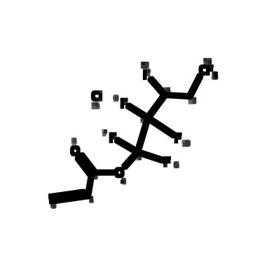 C=CC(=O)OC(F)(F)C(F)(F)C(F)CC(F)(F)F.[C]